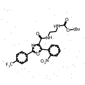 CC(C)(C)OC(=O)NCCNC(=O)c1nc(-c2ccc(C(F)(F)F)cc2)oc1-c1ccccc1[N+](=O)[O-]